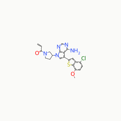 C=CC(=O)N1CC[C@H](n2cc(-c3cc4c(Cl)ccc(OC)c4s3)c3c(N)ncnc32)C1